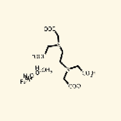 O.O.O.O=C([O-])CN(CCN(CC(=O)[O-])CC(=O)O)CC(=O)[O-].[Fe+2].[Na+]